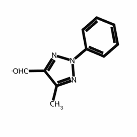 Cc1nn(-c2ccccc2)nc1[C]=O